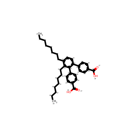 CCCCCCCCc1ccc(-c2ccc(C(=O)O)cc2)c(-c2ccc(C(=O)O)cc2)c1CCCCCCCC